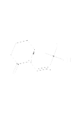 C=C1CCCCN1/C=N\C(C)(C)C